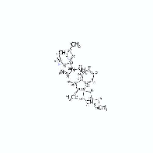 C=C/C=C1\C(=N/C)N=C(CN2C(=C)C(CC)(CCCC)c3ccccc32)N1N